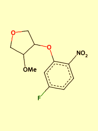 COC1COCC1Oc1cc(F)ccc1[N+](=O)[O-]